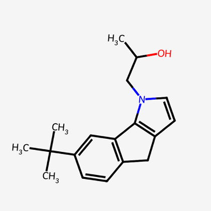 CC(O)Cn1ccc2c1-c1cc(C(C)(C)C)ccc1C2